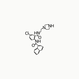 O=C(NCCN1CCNCC1)c1cc(Cl)ccc1NC(=O)c1cccc2ccccc12